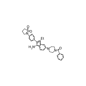 CCn1c(-c2ccc(N3CCCS3(=O)=O)cc2)c(N)c2ccc(N3CCN(C(=O)c4ccccc4)CC3)cc21